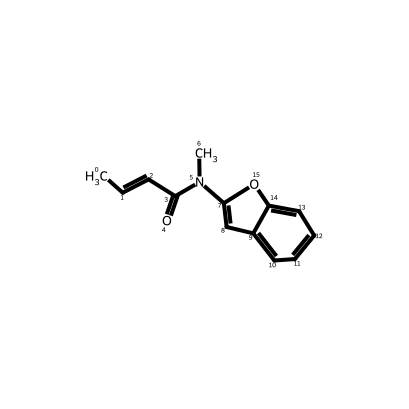 CC=CC(=O)N(C)c1cc2ccccc2o1